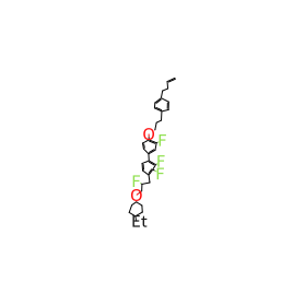 C=CCCc1ccc(CCCOc2ccc(-c3ccc(CC(F)COC4CCC(CC)CC4)c(F)c3F)cc2F)cc1